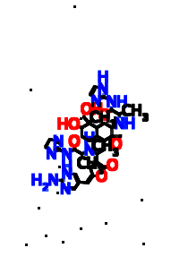 CC(NC(CC1C2(CO2)C(NC(C)C(=O)Nc2ncc[nH]2)CC2[C@]1(C)CC[C@@H](O)[C@@]2(C)CO)C1=C/C(=C\c2cnc(N)nc2)OC1=O)C(=O)NC1=NCC=N1